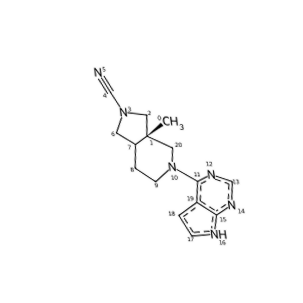 C[C@]12CN(C#N)CC1CCN(c1ncnc3[nH]ccc13)C2